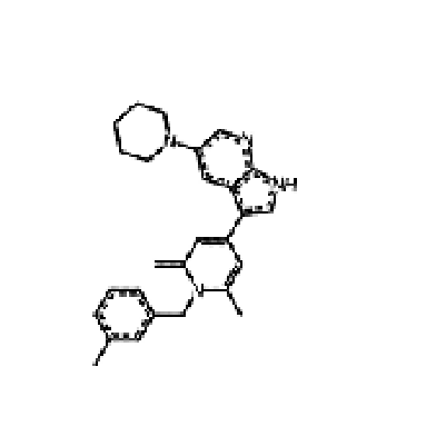 C=C1C=C(c2c[nH]c3ncc(N4CCCCC4)cc23)C=C(C)N1Cc1cccc(C)c1